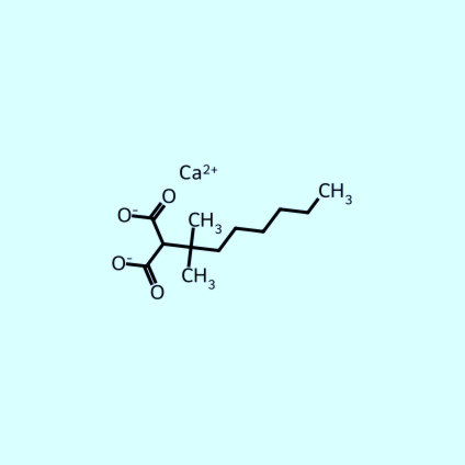 CCCCCCC(C)(C)C(C(=O)[O-])C(=O)[O-].[Ca+2]